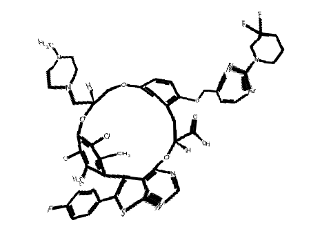 Cc1c(Cl)c2c(Cl)c(C)c1-c1c(-c3ccc(F)cc3)sc3ncnc(c13)O[C@@H](C(=O)O)Cc1cc(ccc1OCc1ccnc(N3CCCC(F)(F)C3)n1)OC[C@@H](CN1CCN(C)CC1)O2